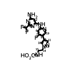 Nc1cc(Nc2cc(F)c(-c3cnn(CCNC(=O)O)c3)cn2)nc(C(F)F)n1